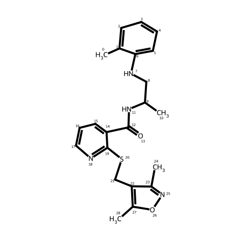 Cc1ccccc1NCC(C)NC(=O)c1cccnc1SCc1c(C)noc1C